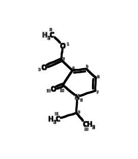 COC(=O)c1cccn(C(C)C)c1=O